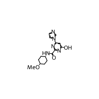 CO[C@H]1CC[C@H](NC(=O)c2nc(O)cc(-n3ccnc3)n2)CC1